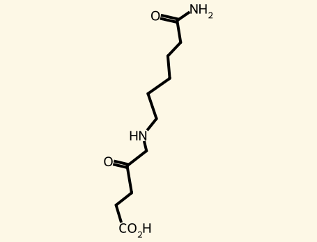 NC(=O)CCCCCNCC(=O)CCC(=O)O